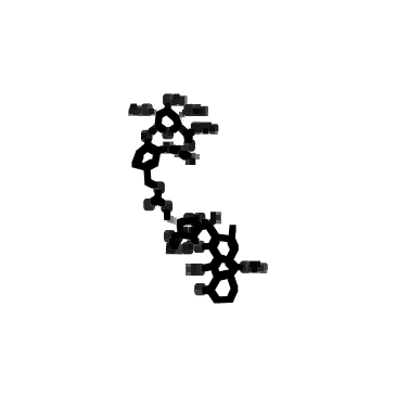 COC(=O)[C@H]1O[C@@H](Oc2ccc(COC(=O)OC[C@]34O[C@@H]5[C@@H](O3)c3c(C)cc6c(OC)c7c(c(O)c6c3O[C@@]5(OC)[C@@]43CO3)C(=O)CCC7)cc2N=[N+]=[N-])[C@H](OC(C)=O)[C@@H](OC(C)=O)[C@@H]1OC(C)=O